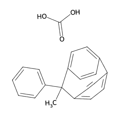 CC1(c2ccccc2)c2ccc(cc2)-c2ccc1cc2.O=C(O)O